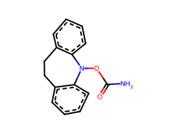 NC(=O)ON1c2ccccc2CCc2ccccc21